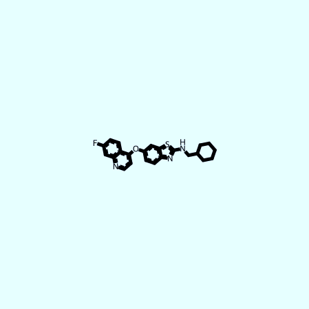 Fc1ccc2c(Oc3ccc4nc(NCC5CCCCC5)sc4c3)ccnc2c1